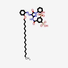 CCCCCCCCCCCCCCCCCCOc1ccccc1/N=N/C1C(=O)N(c2ccccc2)N=C1NC(=O)c1cc(S(=O)(=O)O)cc(S(=O)(=O)O)c1